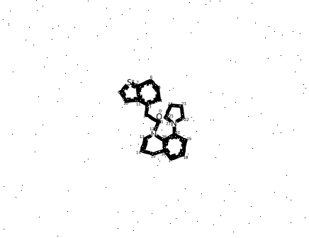 O=C(Cc1cccc2sccc12)N1C=CCc2cccc(N3CCCC3)c21